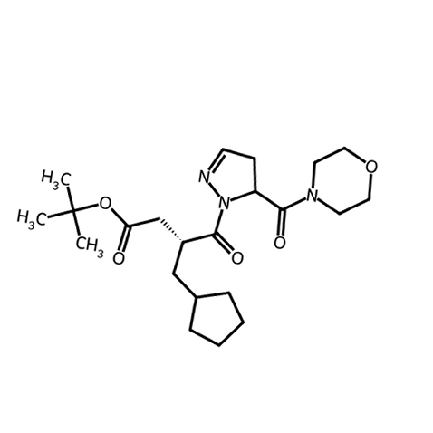 CC(C)(C)OC(=O)C[C@@H](CC1CCCC1)C(=O)N1N=CCC1C(=O)N1CCOCC1